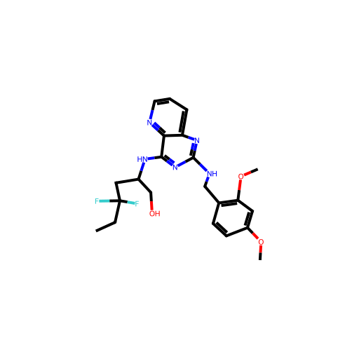 CCC(F)(F)CC(CO)Nc1nc(NCc2ccc(OC)cc2OC)nc2cccnc12